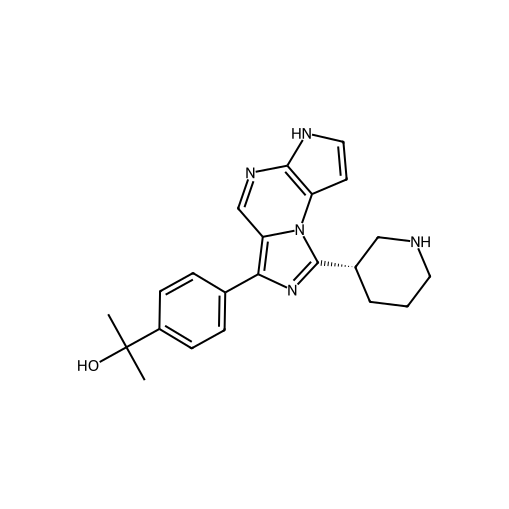 CC(C)(O)c1ccc(-c2nc([C@H]3CCCNC3)n3c2cnc2[nH]ccc23)cc1